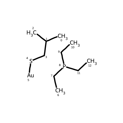 CC(C)C[S][Au].CCP(CC)CC